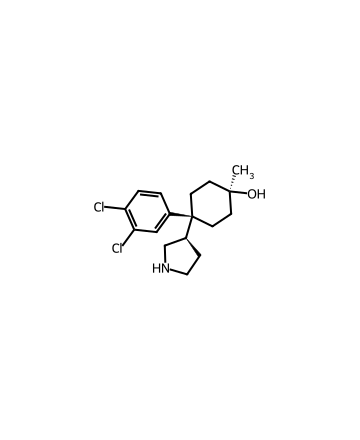 C[C@]1(O)CC[C@](c2ccc(Cl)c(Cl)c2)([C@H]2CCNC2)CC1